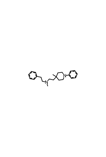 CN(CCc1ccccc1)CCC1(C)CCN(c2ccccc2)CC1